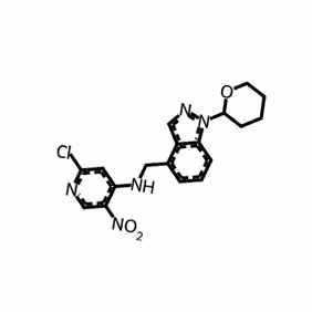 O=[N+]([O-])c1cnc(Cl)cc1NCc1cccc2c1cnn2C1CCCCO1